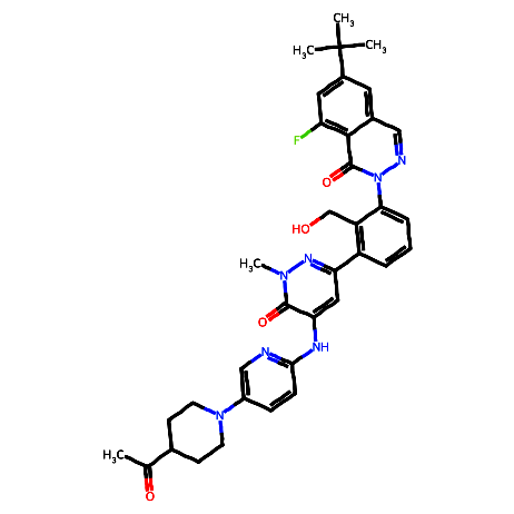 CC(=O)C1CCN(c2ccc(Nc3cc(-c4cccc(-n5ncc6cc(C(C)(C)C)cc(F)c6c5=O)c4CO)nn(C)c3=O)nc2)CC1